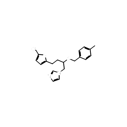 Cc1ccc(CSC(CCc2ccc(Cl)s2)Cn2ccnc2)cc1